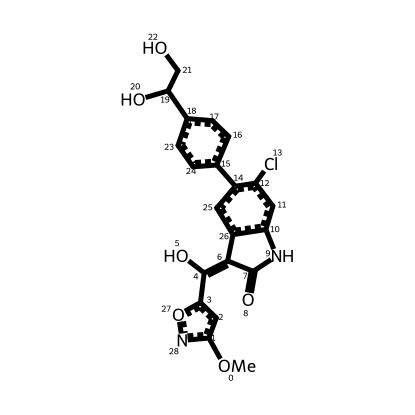 COc1cc(/C(O)=C2\C(=O)Nc3cc(Cl)c(-c4ccc(C(O)CO)cc4)cc32)on1